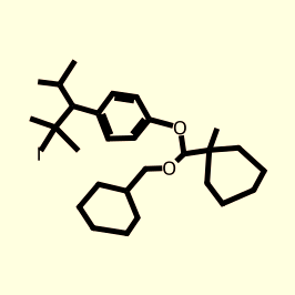 CC(C)C(c1ccc(OC(OCC2CCCCC2)C2(C)CCCCC2)cc1)C(C)(C)I